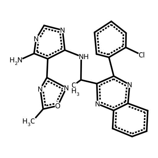 Cc1nc(-c2c(N)ncnc2NC(C)c2nc3ccccc3nc2-c2ccccc2Cl)no1